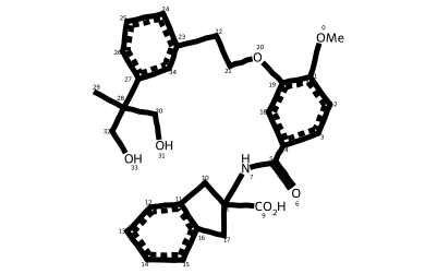 COc1ccc(C(=O)NC2(C(=O)O)Cc3ccccc3C2)cc1OCCc1cccc(C(C)(CO)CO)c1